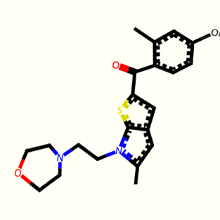 COc1ccc(C(=O)c2cc3cc(C)n(CCN4CCOCC4)c3s2)c(C)c1